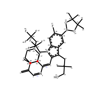 C=C(/C=N\C(=C\c1c(CC(C)(C)CO)c2cc(B3OC(C)(C)C(C)(C)O3)c(F)cc2n1CC(F)(F)F)[C@H](C)OC)N1CCN(CC(F)(F)F)CC1